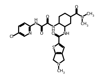 CN1Cc2cc(C(=O)NC3CC(C(=O)N(C)C)CCC3NC(=O)C(=O)Nc3ccc(Cl)cn3)sc2C1